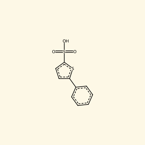 O=S(=O)(O)c1ccc(-c2ccccc2)s1